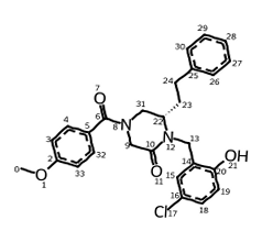 COc1ccc(C(=O)N2CC(=O)N(Cc3cc(Cl)ccc3O)[C@@H](CCc3ccccc3)C2)cc1